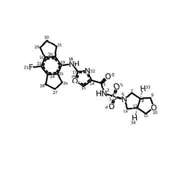 O=C(NS(=O)(=O)N1C[C@H]2COC[C@H]2C1)c1coc(Nc2c3c(c(F)c4c2CCC4)CCC3)n1